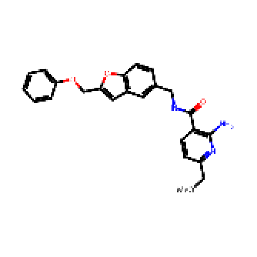 COCc1ccc(C(=O)NCc2ccc3oc(COc4ccccc4)cc3c2)c(N)n1